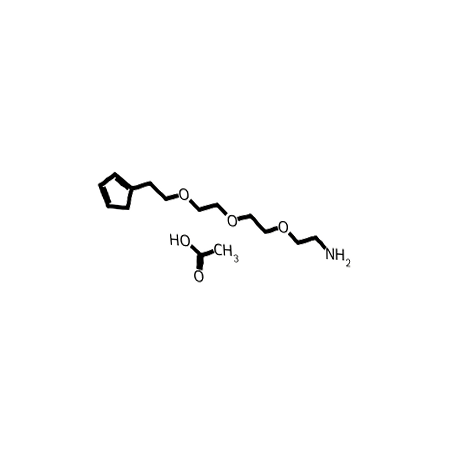 CC(=O)O.NCCOCCOCCOCCC1=CC=CC1